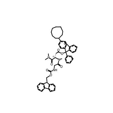 CN(C)C(=O)[C@H](CC(=O)OC(c1ccccc1)(c1ccc(C2CCCCCCCC2)cc1)c1ccccc1Cl)N(C)C(=O)CNC(=O)OCC1c2ccccc2-c2ccccc21